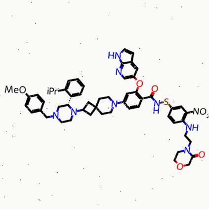 COc1ccc(CN2CCN(C3CC4(CCN(c5ccc(C(=O)NSc6ccc(NCCN7CCOCC7=O)c([N+](=O)[O-])c6)c(Oc6cnc7[nH]ccc7c6)c5)CC4)C3)[C@@H](c3ccccc3C(C)C)C2)cc1